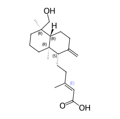 C=C1CC[C@H]2[C@](C)(CO)CCC[C@]2(C)[C@H]1CC/C(C)=C/C(=O)O